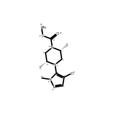 C[C@@H]1CN(c2c(Cl)cnn2C)[C@H](C)CN1C(=O)OC(C)(C)C